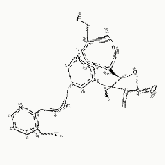 C[C@]1(c2cncc(C#Cc3ncccc3F)c2)NC(=O)O[C@@H]1c1ccc(F)cc1